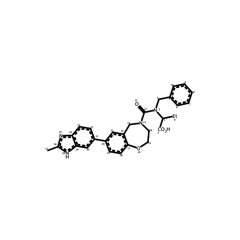 CCC(C(=O)O)N(Cc1ccccc1)C(=O)N1CCOc2ccc(-c3ccc4nc(C)[nH]c4c3)cc2C1